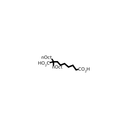 CCCCCCCCC(CCCCCCCC)(CCCCCCC(=O)O)C(=O)O